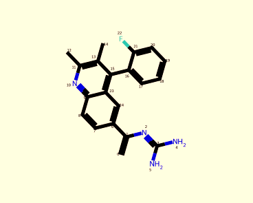 C=C(N=C(N)N)c1ccc2nc(C)c(C)c(-c3ccccc3F)c2c1